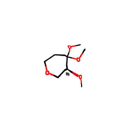 CO[C@H]1COCCC1(OC)OC